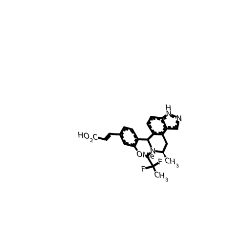 COc1cc(/C=C/C(=O)O)ccc1C1c2ccc3[nH]ncc3c2C[C@@H](C)N1CC(C)(F)F